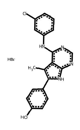 Br.Cc1c(-c2ccc(O)cc2)[nH]c2ncnc(Nc3cccc(Cl)c3)c12